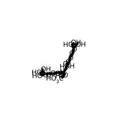 O=C(O)CNC(=O)[C@H](CCCCNC(=O)COCCOCCOCCO[C@@H]1C[C@H](CO)[C@H](O)[C@H](O)C1)NC(=O)COCCOCCOCO[C@@H]1C[C@H](CO)[C@H](O)[C@H](O)C1